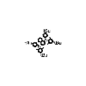 Cc1cc(C(C)(C)C)cc(C)c1N(c1ccc(C(C)(C)C)cc1)c1ccc(N(c2ccc(C(C)(C)C)cc2)c2c(C)cc(C(C)(C)C)cc2C)c2ccccc12